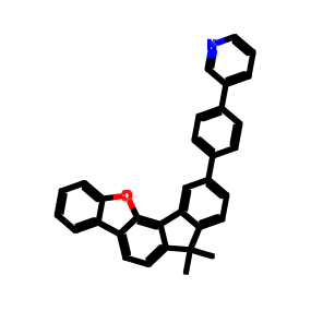 CC1(C)c2ccc(-c3ccc(-c4cccnc4)cc3)cc2-c2c1ccc1c2oc2ccccc21